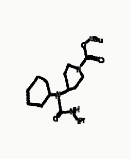 CC(C)NC(=O)N(C1CCCCC1)C1CCN(C(=O)OC(C)(C)C)CC1